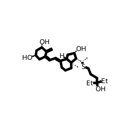 C=C1C(=CC=C2CCC[C@]3(C)[C@@H]([C@H](C)SCCCC(O)(CC)CC)[C@@H](O)C[C@@H]23)C[C@@H](O)C[C@@H]1O